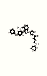 Nc1ncnc2c1c(-c1ccc(Oc3ccccc3)cc1)nn2[C@@H]1CCN(C(=O)C=CCNC2CCOCC2)C1